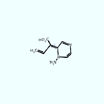 C=C/C(C(=O)O)=C1/C=NC=CN1N